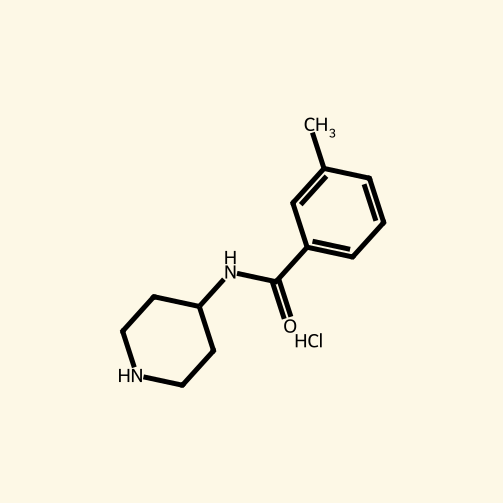 Cc1cccc(C(=O)NC2CCNCC2)c1.Cl